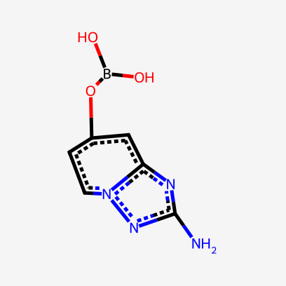 Nc1nc2cc(OB(O)O)ccn2n1